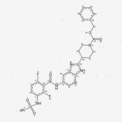 CCCS(=O)(=O)Nc1ccc(F)c(C(=O)Nc2cnc3[nH]c(C4CCN(C(=O)OCc5ccccc5)CC4)nc3c2)c1F